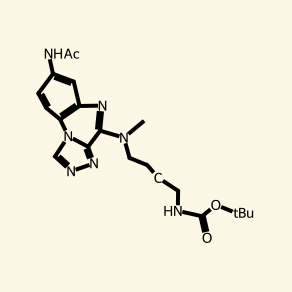 CC(=O)Nc1ccc2c(c1)nc(N(C)CCCCNC(=O)OC(C)(C)C)c1nncn12